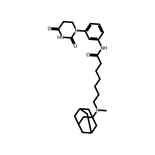 CN(CCCCCCC(=O)Nc1cccc(N2CCC(=O)NC2=O)c1)C12CC3CC(CC(C3)C1)C2